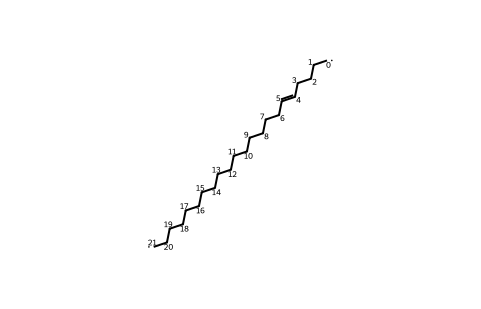 [CH2]CCC/C=C/CCCCCCCCCCCCCCC[CH2]